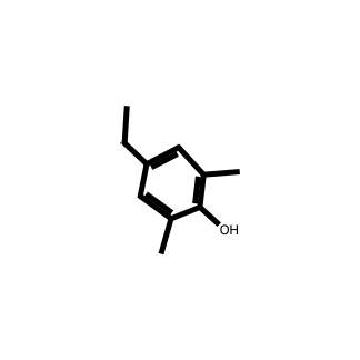 C[CH]c1cc(C)c(O)c(C)c1